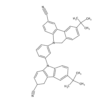 CC(C)(C)c1ccc2c(c1)-c1cc(C#N)ccc1N(c1cccc(-n3c4c(c5cc(C(C)(C)C)ccc53)CC(C#N)C=C4)c1)C2